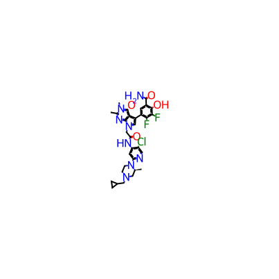 Cc1nc2c(c(-c3cc(C(N)=O)c(O)c(F)c3F)cn2CC(=O)Nc2cc(N3CCN(CC4CC4)C[C@@H]3C)ncc2Cl)c(=O)n1C